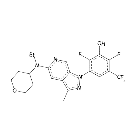 CCN(c1cc2c(C)nn(-c3cc(C(F)(F)F)c(F)c(O)c3F)c2cn1)C1CCOCC1